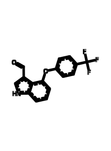 O=Cc1c[nH]c2cccc(Oc3ccc(C(F)(F)F)cc3)c12